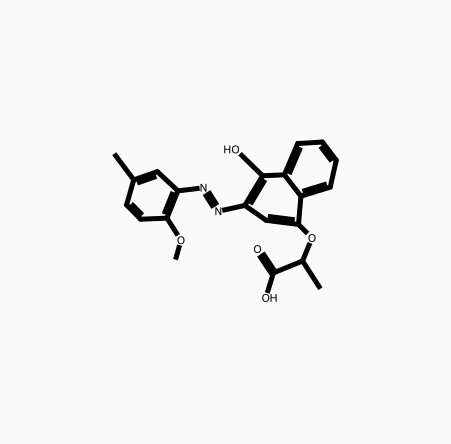 COc1ccc(C)cc1N=Nc1cc(OC(C)C(=O)O)c2ccccc2c1O